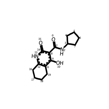 O=C(NC1CCCC1)c1c(O)c2c([nH]c1=O)CCCC2